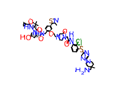 Cc1ncsc1-c1ccc(CNC(=O)[C@@H]2C[C@@H](O)CN2C(=O)[C@@H](NC(=O)C2CC2)C(C)(C)C)c(OCCN2CCN(CC(=O)Nc3cccc(Sc4cnc(N5CCC(C)(CN)CC5)cn4)c3Cl)C(=O)C2)c1